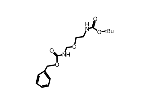 CC(C)(C)OC(=O)NCCOCNC(=O)OCc1ccccc1